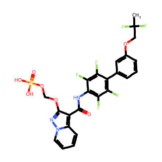 CC(F)(F)COc1cccc(-c2c(F)c(F)c(NC(=O)c3c(OCOP(=O)(O)O)nn4ccccc34)c(F)c2F)c1